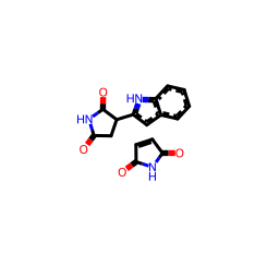 O=C1C=CC(=O)N1.O=C1CC(c2cc3ccccc3[nH]2)C(=O)N1